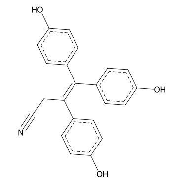 N#CCC(=C(c1ccc(O)cc1)c1ccc(O)cc1)c1ccc(O)cc1